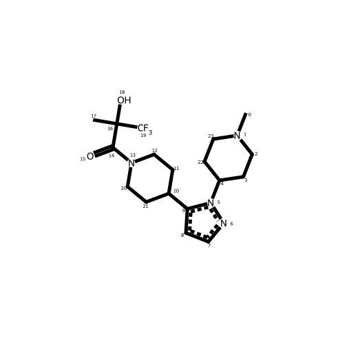 CN1CCC(n2nccc2C2CCN(C(=O)C(C)(O)C(F)(F)F)CC2)CC1